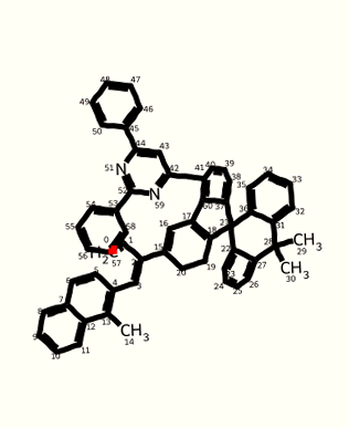 C=C/C(=C\c1ccc2ccccc2c1C)C1=CC2=C(CC1)C1(c3ccccc3C(C)(C)c3ccccc31)c1cccc(-c3cc(-c4ccccc4)nc(-c4ccccc4)n3)c12